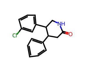 O=C1CC(c2ccccc2)C(c2cccc(Cl)c2)CN1